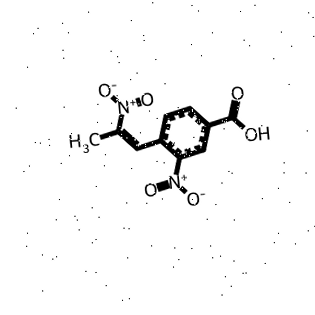 CC(=Cc1ccc(C(=O)O)cc1[N+](=O)[O-])[N+](=O)[O-]